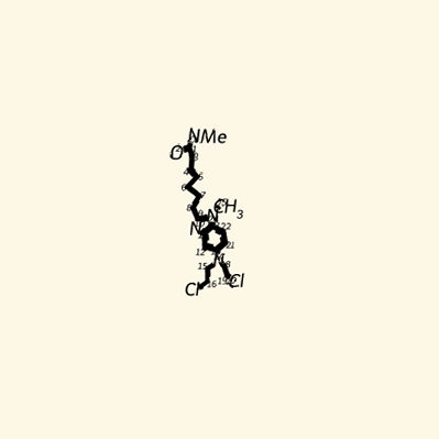 CNC(=O)CCCCCCc1nc2cc(N(CCCl)CCCl)ccc2n1C